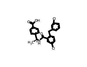 C[C@H](NC(=O)c1cc(Cl)ccc1Cc1cccc(Cl)c1)c1ccc(C(=O)O)cc1